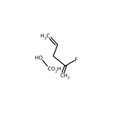 C=CCC(=C)F.O=C(O)O